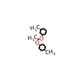 Cc1ccc(OC(C)Oc2cccc(C)c2)cc1